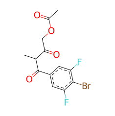 CC(=O)OCC(=O)C(C)C(=O)c1cc(F)c(Br)c(F)c1